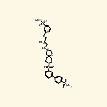 CNS(=O)(=O)c1cccc(OC[C@@H](O)CN[C@@H]2COC3(CCN(S(=O)(=O)c4cccc(-c5ccc(S(N)(=O)=O)cc5)c4)CC3)C2)c1